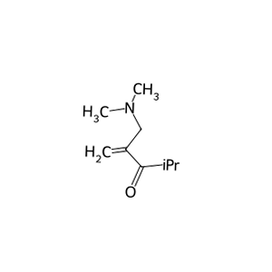 C=C(CN(C)C)C(=O)C(C)C